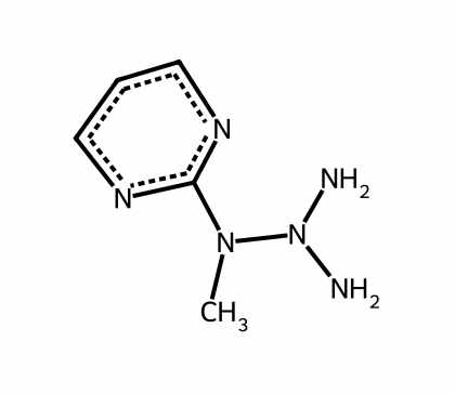 CN(c1ncccn1)N(N)N